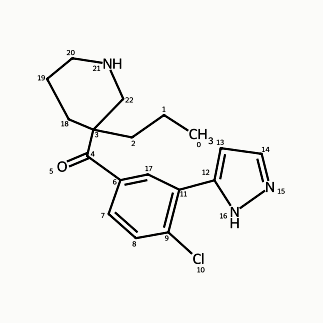 CCCC1(C(=O)c2ccc(Cl)c(-c3ccn[nH]3)c2)CCCNC1